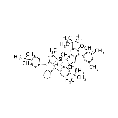 COc1c(C(C)(C)C)cc2c(c1-c1cc(C)cc(C)c1)C=C(C)C2[Si](C)(C)C1C(C)=Cc2c(-c3ccc(C(C)(C)C)cc3)c3c(c(-c4ccc(C(C)(C)C)cc4)c21)CCC3